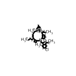 CC/C=C1/NS(=O)(=O)[C@@H](CC2CC2)C(C)C/C=C\C(CCCC)C2CCC2CN2CC(C)(c3ccc(Cl)cc3CCC)COc3ccc1cc32